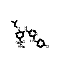 CNS(=O)(=O)c1ccc(OCC(C)C)c(Nc2cc(Nc3ccc(Cl)cc3)ncn2)c1